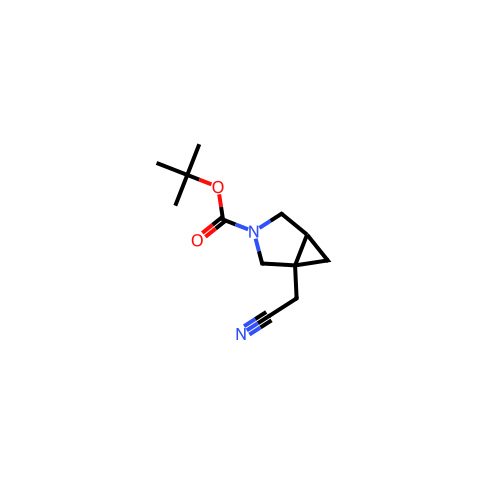 CC(C)(C)OC(=O)N1CC2CC2(CC#N)C1